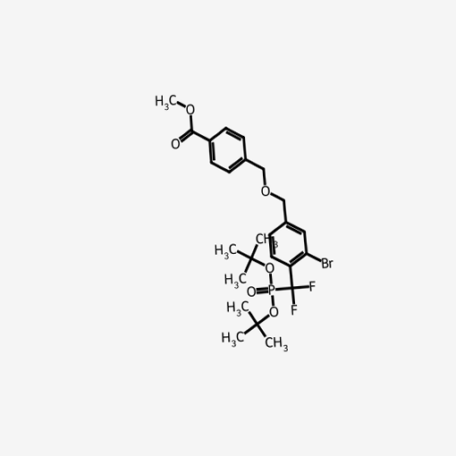 COC(=O)c1ccc(COCc2ccc(C(F)(F)P(=O)(OC(C)(C)C)OC(C)(C)C)c(Br)c2)cc1